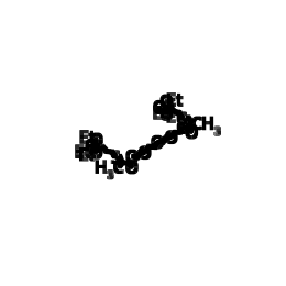 CCO[Si](CCCSCC(C)C(=O)OCCOCCOCCOCCOC(=O)C(C)CSCCC[Si](OCC)(OCC)OCC)(OCC)OCC